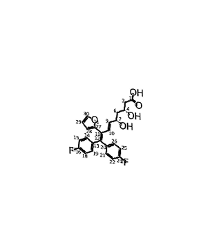 O=C(O)C[C@H](O)C[C@H](O)/C=C/C(=C(c1ccc(F)cc1)c1ccc(F)cc1)c1ccco1